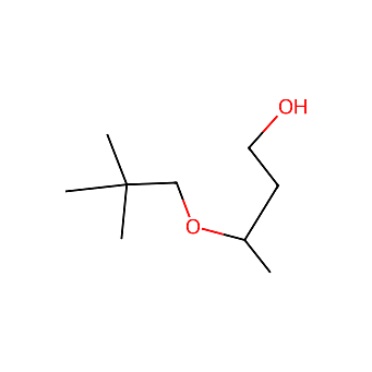 CC(CCO)OCC(C)(C)C